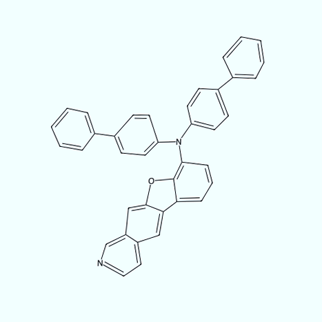 c1ccc(-c2ccc(N(c3ccc(-c4ccccc4)cc3)c3cccc4c3oc3cc5cnccc5cc34)cc2)cc1